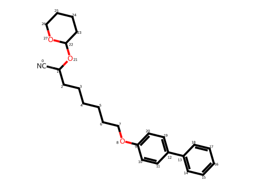 N#CC(CCCCCCOc1ccc(-c2ccccc2)cc1)OC1CCCCO1